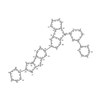 c1ccc(-c2cccc(-n3c4ccccc4c4cc(-c5ccc6c(c5)sc5nc(-c7ccccc7)cn56)ccc43)c2)cc1